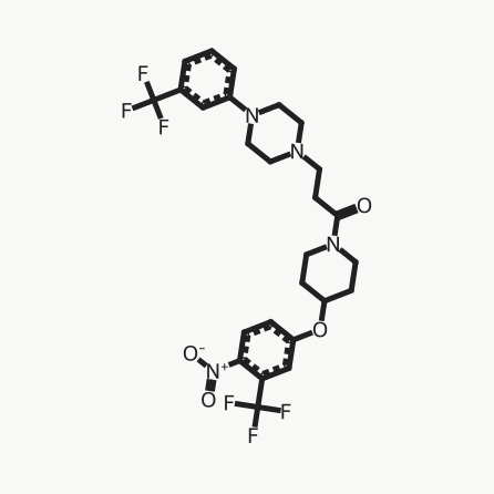 O=C(CCN1CCN(c2cccc(C(F)(F)F)c2)CC1)N1CCC(Oc2ccc([N+](=O)[O-])c(C(F)(F)F)c2)CC1